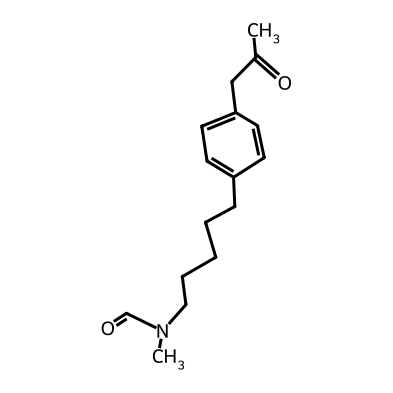 CC(=O)Cc1ccc(CCCCCN(C)C=O)cc1